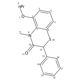 CCCOc1cccc2c1N(C)C(=O)C(c1ccccc1)S2